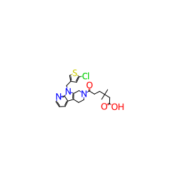 CC(C)(CCC(=O)N1CCc2c(n(Cc3csc(Cl)c3)c3ncccc23)C1)CC(=O)O